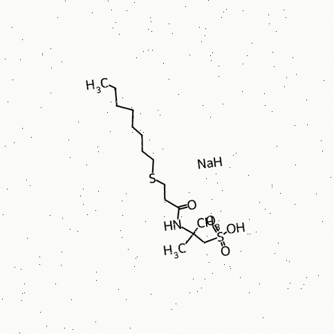 CCCCCCCCSCCC(=O)NC(C)(C)CS(=O)(=O)O.[NaH]